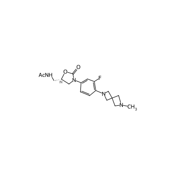 CC(=O)NC[C@H]1CN(c2ccc(N3CC4(CN(C)C4)C3)c(F)c2)C(=O)O1